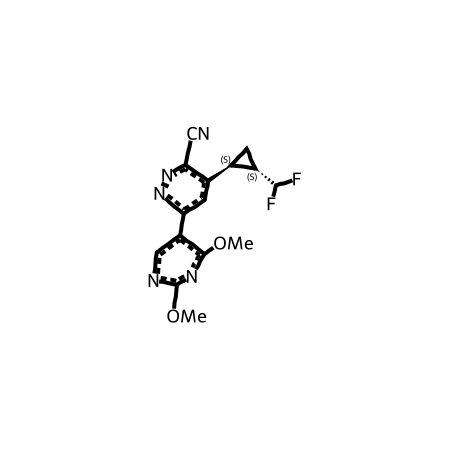 COc1ncc(-c2cc([C@H]3C[C@@H]3C(F)F)c(C#N)nn2)c(OC)n1